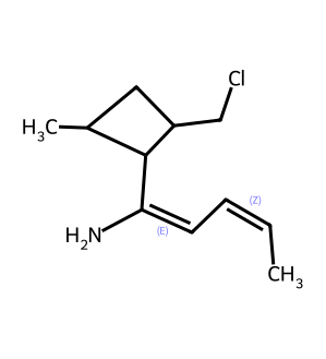 C/C=C\C=C(\N)C1C(C)CC1CCl